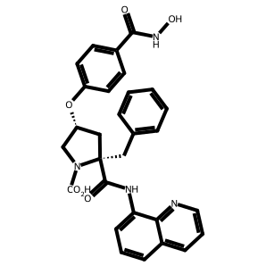 O=C(NO)c1ccc(O[C@H]2CN(C(=O)O)[C@](Cc3ccccc3)(C(=O)Nc3cccc4cccnc34)C2)cc1